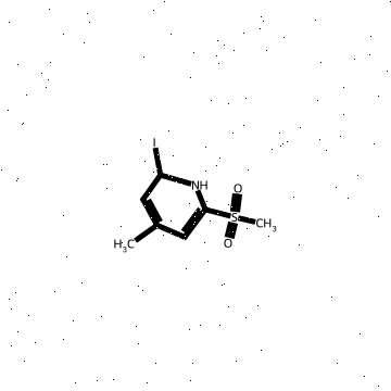 CC1=CC(I)NC(S(C)(=O)=O)=C1